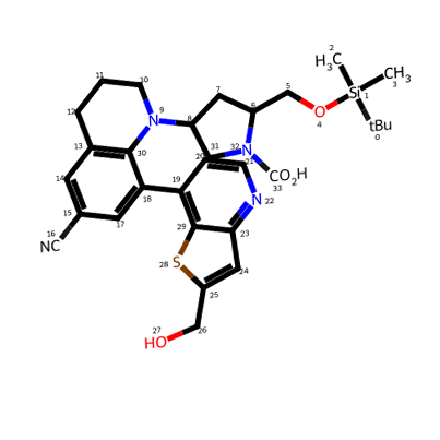 CC(C)(C)[Si](C)(C)OCC1CC(N2CCCc3cc(C#N)cc(-c4ccnc5cc(CO)sc45)c32)CN1C(=O)O